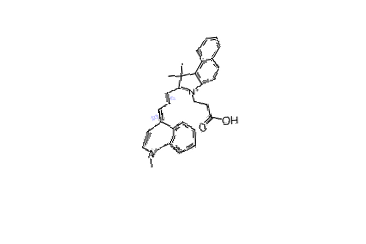 CN1C=C/C(=C/C=C/C2=[N+](CCC(=O)O)c3ccc4ccccc4c3C2(C)C)c2ccccc21